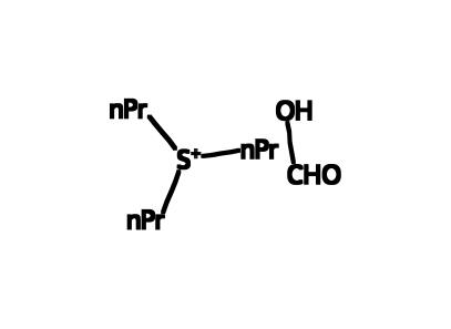 CCC[S+](CCC)CCC.O=[C-]O